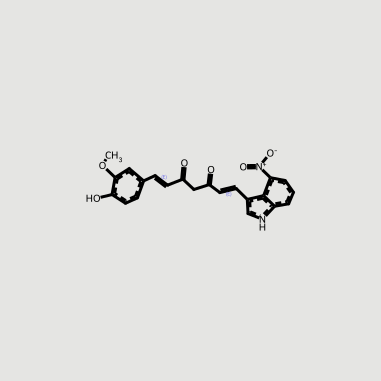 COc1cc(/C=C/C(=O)CC(=O)/C=C/c2c[nH]c3cccc([N+](=O)[O-])c23)ccc1O